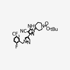 CC(C)(C)OC(=O)N1CCC[C@H](n2nc(-c3cnn(Cc4cc(C(F)(F)F)ccc4F)c3)c(C#N)c2N)CC1